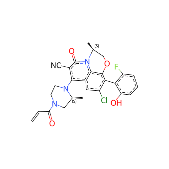 C=CC(=O)N1CCN(c2c(C#N)c(=O)n3c4c(c(-c5c(O)cccc5F)c(Cl)cc24)OC[C@@H]3C)[C@@H](C)C1